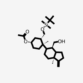 C=C1CCC2[C@H](CO)C([C@@]3(C)CC[C@H](OC(C)=O)C[C@@H]3CO[Si](C)(C)C(C)(C)C)CC[C@]12C